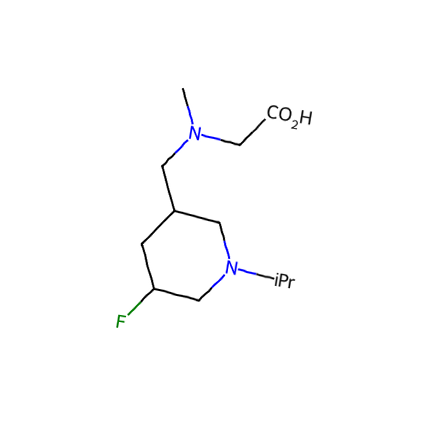 CC(C)N1CC(F)CC(CN(C)CC(=O)O)C1